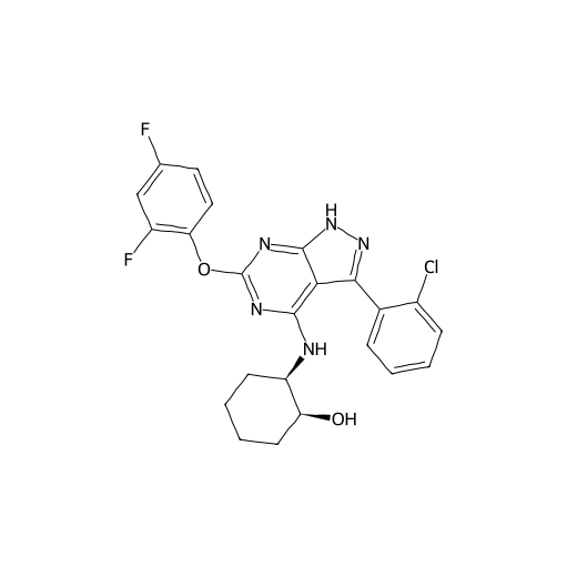 O[C@H]1CCCC[C@H]1Nc1nc(Oc2ccc(F)cc2F)nc2[nH]nc(-c3ccccc3Cl)c12